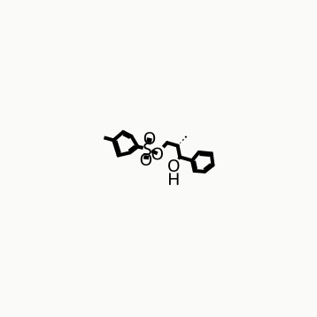 Cc1ccc(S(=O)(=O)OC[C@H](C)[C@H](O)c2ccccc2)cc1